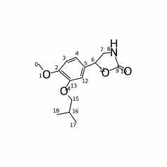 COc1ccc(C2CNC(=O)O2)cc1OCC(C)C